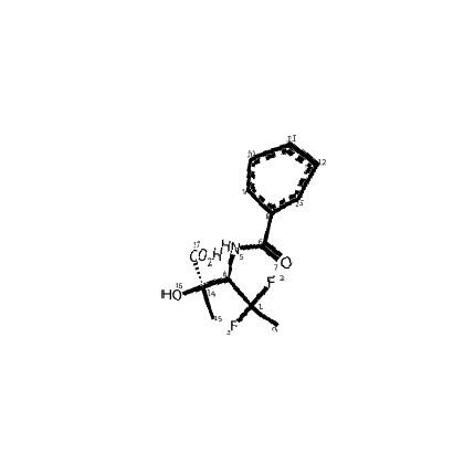 CC(F)(F)[C@H](NC(=O)c1ccccc1)[C@@](C)(O)C(=O)O